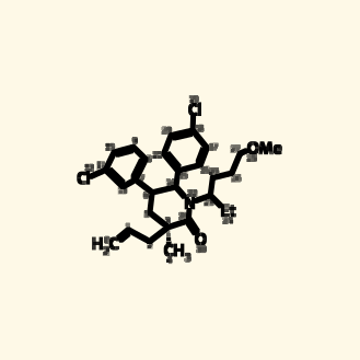 C=CC[C@@]1(C)CC(c2cccc(Cl)c2)C(c2ccc(Cl)cc2)N(C(CC)CCCOC)C1=O